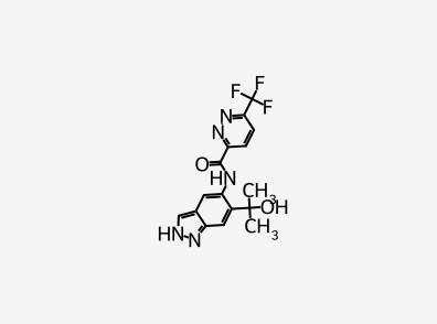 CC(C)(O)c1cc2n[nH]cc2cc1NC(=O)c1ccc(C(F)(F)F)nn1